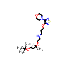 CC(C)(C)OCCC(C)(C)OCCNCCCOc1nsnc1N1CCOCC1